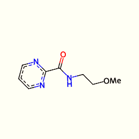 COCCNC(=O)c1ncccn1